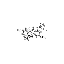 Cc1ccc(PC(C)(C)c2cc(C)cc(C)c2O)c(CN(C)C)c1